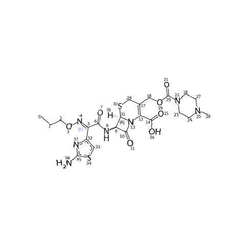 CCCO/N=C(/C(=O)NC1C(=O)N2C(C(=O)O)=C(COC(=O)N3CCN(C)CC3)CS[C@H]12)c1csc(N)n1